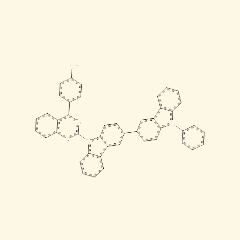 Cc1ccc(-c2nc(-n3c4ccccc4c4cc(-c5ccc6c(c5)c5ccccc5n6-c5ccccc5)ccc43)nc3ccccc23)cc1